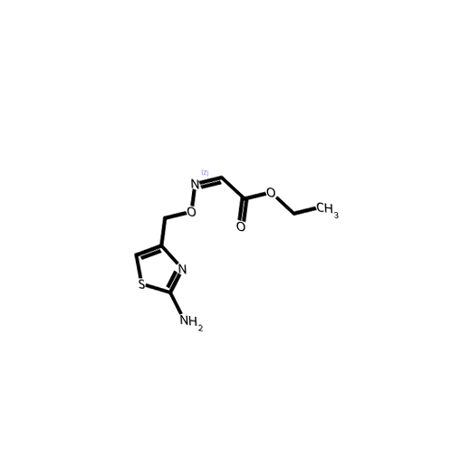 CCOC(=O)/C=N\OCc1csc(N)n1